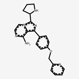 Nc1nccn2c(C3CCCN3)nc(-c3ccc(OCc4ccccn4)cc3)c12